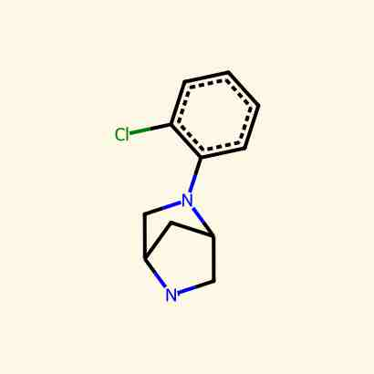 Clc1ccccc1N1CC2CC1C[N]2